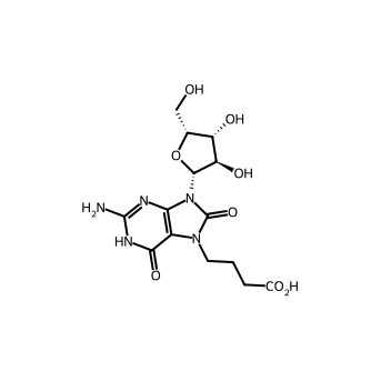 Nc1nc2c(c(=O)[nH]1)n(CCCC(=O)O)c(=O)n2[C@@H]1O[C@H](CO)[C@H](O)[C@H]1O